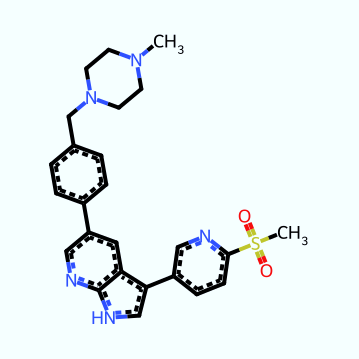 CN1CCN(Cc2ccc(-c3cnc4[nH]cc(-c5ccc(S(C)(=O)=O)nc5)c4c3)cc2)CC1